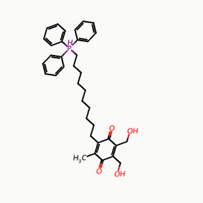 CC1=C(CCCCCCCCCC[PH](c2ccccc2)(c2ccccc2)c2ccccc2)C(=O)C(CO)=C(CO)C1=O